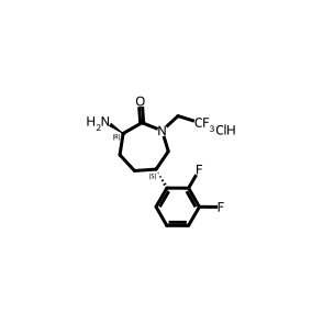 Cl.N[C@@H]1CC[C@@H](c2cccc(F)c2F)CN(CC(F)(F)F)C1=O